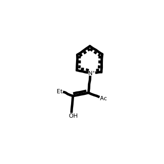 CC/C(O)=C(/C(C)=O)[n+]1ccccc1